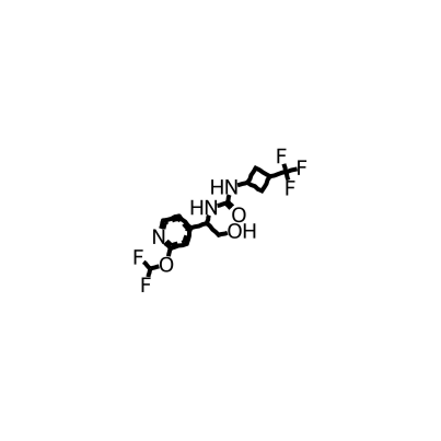 O=C(NC1CC(C(F)(F)F)C1)NC(CO)c1ccnc(OC(F)F)c1